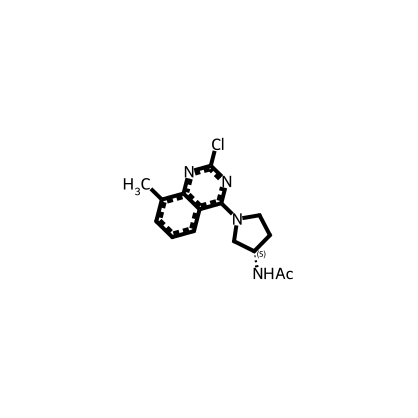 CC(=O)N[C@H]1CCN(c2nc(Cl)nc3c(C)cccc23)C1